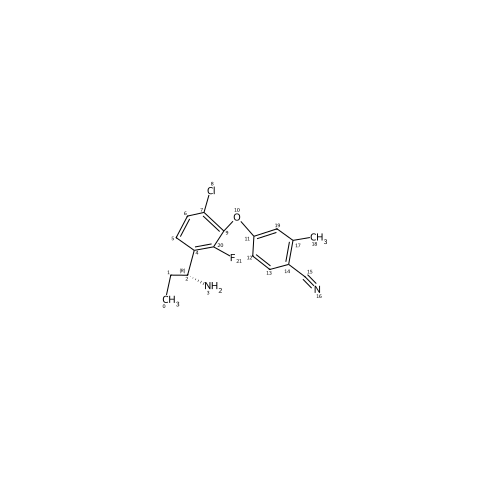 CC[C@@H](N)c1ccc(Cl)c(Oc2ccc(C#N)c(C)c2)c1F